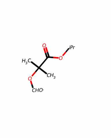 CC(C)OC(=O)C(C)(C)O[C]=O